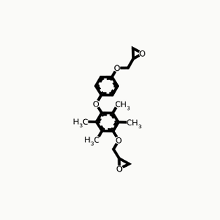 Cc1c(C)c(Oc2ccc(OCC3CO3)cc2)c(C)c(C)c1OCC1CO1